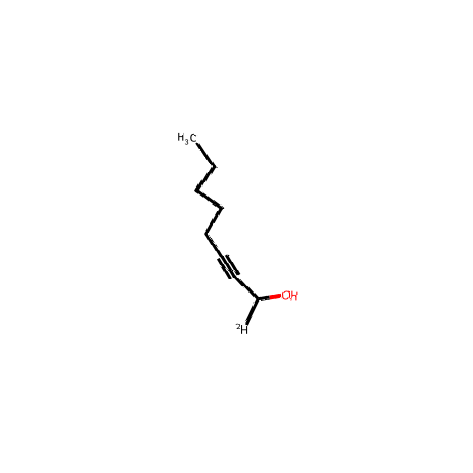 [2H]C(O)C#CCCCCC